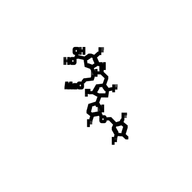 COCCn1c(Cc2cc(F)c(-c3ccc(F)c(OCc4cc(F)c(C)cc4F)n3)cc2F)nc2c(F)cc(C(O)O)cc21